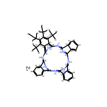 CC(C)(C)c1c(C(C)(C)C)c(C(C)(C)C)c2c3nc4nc(nc5[nH]c(nc6nc(nc([nH]3)c2c1C(C)(C)C)-c1ccccc1-6)c1ccccc51)-c1ccccc1-4.[Pd]